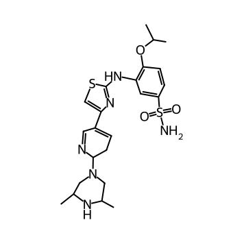 CC1CN(C2CC=C(c3csc(Nc4cc(S(N)(=O)=O)ccc4OC(C)C)n3)C=N2)CC(C)N1